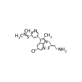 Cc1c(-c2cncc(SN(C)C)c2)c2cc(Cl)cnc2n1C/C(F)=C/CN